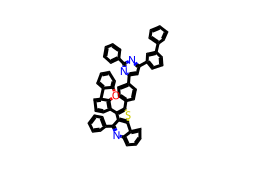 c1ccc(-c2cccc(-c3cc(-c4ccc(-c5sc6c(c(-c7ccccc7)nc7ccccc76)c5-c5cccc6c5oc5ccccc56)cc4)nc(-c4ccccc4)n3)c2)cc1